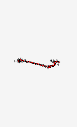 CCCNC(=O)C1=Cc2sc(CN3CCN(c4ccc(C(=O)NCCOCCOCCOCCOCCOCCOCCOCCOCCOCCOCCC(=O)Oc5c(F)c(F)c(S(=O)(=O)O)c(F)c5F)cc4)CC3)cc2N=C(N)C1